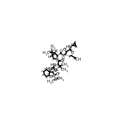 C#CCC[C@H](NC(=O)[C@@H]1[C@@H]2[C@H](CN1C(=O)[C@@H](NC(=O)NC1(CS(=O)(=O)N(C)C)CCCCC1)C(C)(C)C)C2(C)C)C(=O)C(=O)NC1CC1